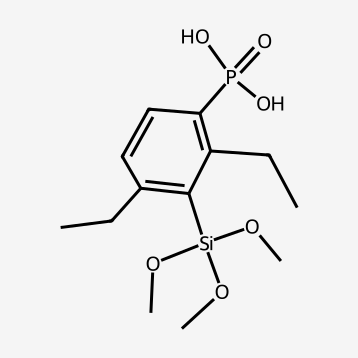 CCc1ccc(P(=O)(O)O)c(CC)c1[Si](OC)(OC)OC